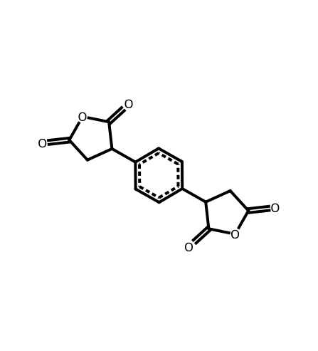 O=C1CC(c2ccc(C3CC(=O)OC3=O)cc2)C(=O)O1